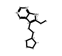 CCc1[nH]c2ncncc2c1CCC1CCCC1